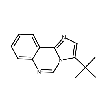 CC(C)(C)c1cnc2c3ccccc3ncn12